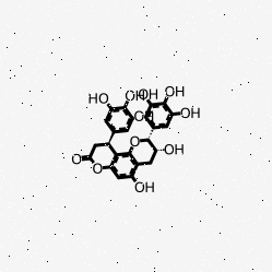 O=C1C[C@@H](c2cc(O)c(O)c(O)c2)c2c(cc(O)c3c2O[C@H](c2cc(O)c(O)c(O)c2)[C@H](O)C3)O1